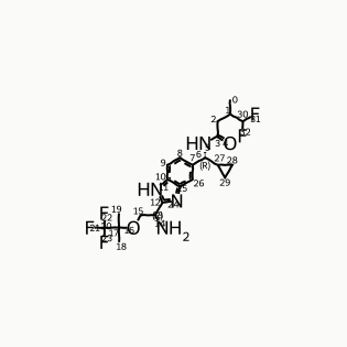 CC(CC(=O)N[C@@H](c1ccc2[nH]c([C@@H](N)COC(C)(C)C(F)(F)F)nc2c1)C1CC1)C(F)F